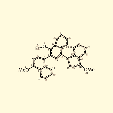 CCOc1c(-c2ccc(OC)c3ccccc23)cc(-c2ccc(OC)c3ccccc23)c2ccccc12